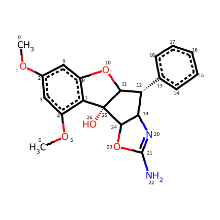 COc1cc(OC)c2c(c1)OC1[C@H](c3ccccc3)C3N=C(N)OC3[C@@]21O